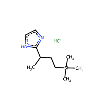 CC(CC[Si](C)(C)C)c1ncc[nH]1.Cl